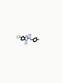 Cc1ccc(CNc2nc3cc(Cl)ccc3[nH]2)cc1